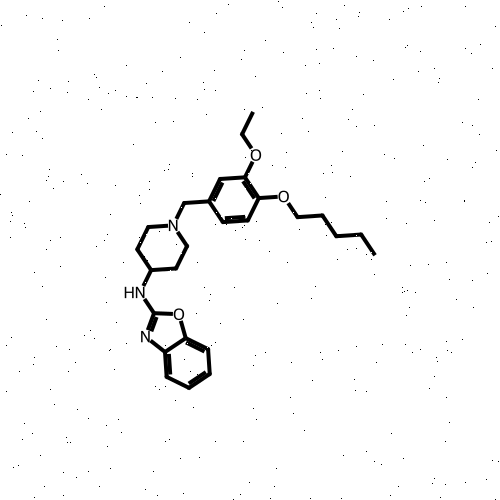 CCCCCOc1ccc(CN2CCC(Nc3nc4ccccc4o3)CC2)cc1OCC